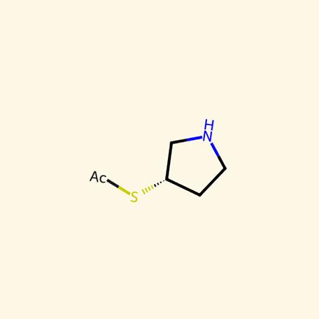 CC(=O)S[C@H]1CCNC1